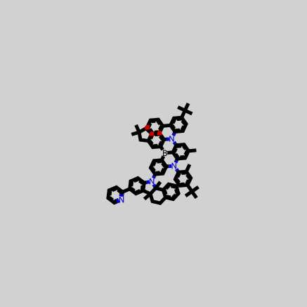 Cc1cc2c3c(c1)N(c1ccc(C(C)(C)C)cc1-c1ccccc1)c1cc4c(cc1B3c1ccc(N3c5ccc(-c6ccccn6)cc5C5(C)CCc6ccccc6C35C)cc1N2c1ccc(C(C)(C)C)cc1C)CC(C)(C)C4